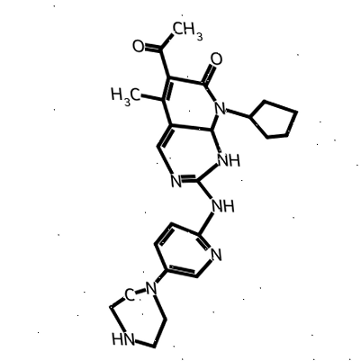 CC(=O)C1=C(C)C2=CN=C(Nc3ccc(N4CCNCC4)cn3)NC2N(C2CCCC2)C1=O